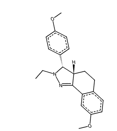 CCN1N=C2c3cc(OC)ccc3CC[C@H]2[C@H]1c1ccc(OC)cc1